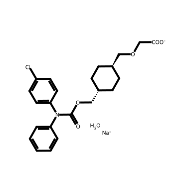 O.O=C([O-])COC[C@H]1CC[C@H](COC(=O)N(c2ccccc2)c2ccc(Cl)cc2)CC1.[Na+]